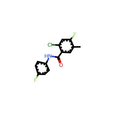 Cc1cc(C(=O)Nc2ccc(F)cc2)c(Cl)cc1F